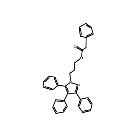 O=C(Cc1ccccc1)OCCCn1nc(-c2ccccc2)c(-c2ccccc2)c1-c1ccccc1